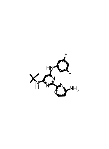 CC(C)(C)Nc1cc(Nc2cc(F)cc(F)c2)nc(-c2nccc(N)n2)n1